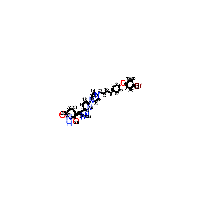 Cc1cc(OC2CCC(CCCCN3CCN(c4ccc5c(C6CCC(=O)NC6=O)nn(C)c5n4)CC3)CC2)ccc1Br